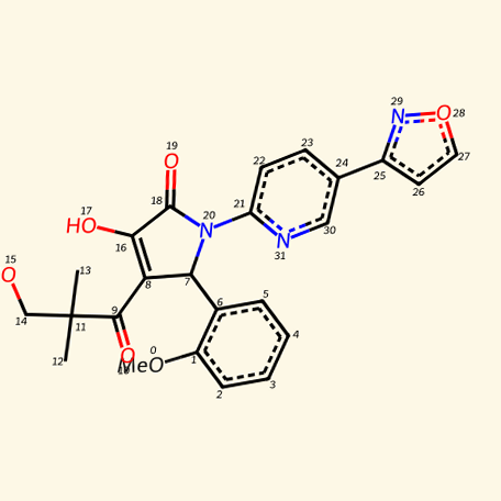 COc1ccccc1C1C(C(=O)C(C)(C)CO)=C(O)C(=O)N1c1ccc(-c2ccon2)cn1